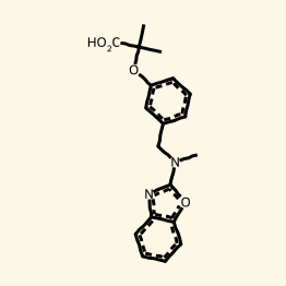 CN(Cc1cccc(OC(C)(C)C(=O)O)c1)c1nc2ccccc2o1